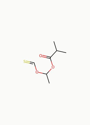 CC(OC=S)OC(=O)C(C)C